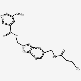 COc1cc(C(=O)NCc2cn3ncc(CNC(=O)CCC(F)(F)F)cc3n2)cnn1